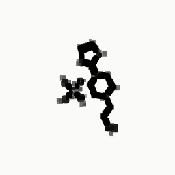 OCCN1CC[N+](=c2sccs2)CC1.[O-][Cl+3]([O-])([O-])[O-]